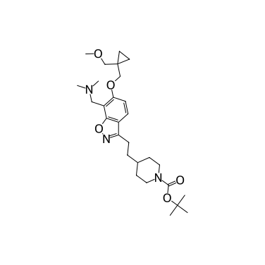 COCC1(COc2ccc3c(CCC4CCN(C(=O)OC(C)(C)C)CC4)noc3c2CN(C)C)CC1